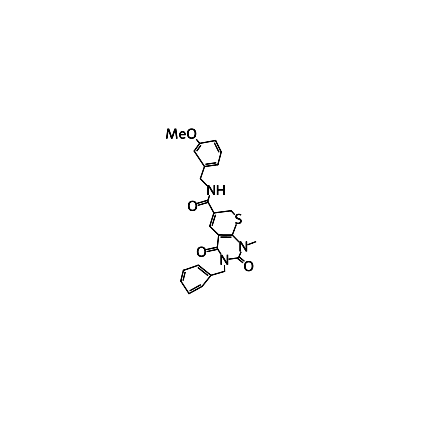 COc1cccc(CNC(=O)C2=Cc3c(n(C)c(=O)n(Cc4ccccc4)c3=O)SC2)c1